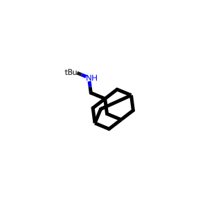 CC(C)(C)NCC12CC3CC(CC(C3)C1)C2